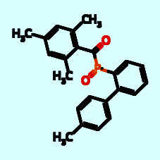 Cc1ccc(-c2ccccc2[P](=O)C(=O)c2c(C)cc(C)cc2C)cc1